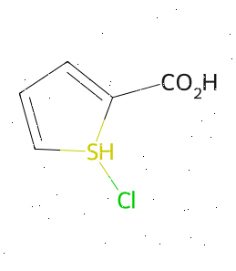 O=C(O)C1=CC=C[SH]1Cl